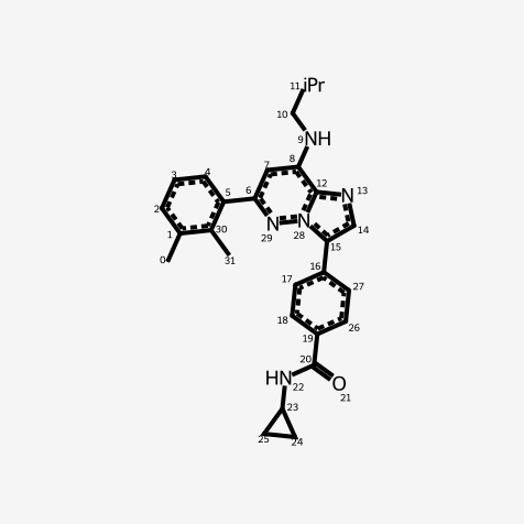 Cc1cccc(-c2cc(NCC(C)C)c3ncc(-c4ccc(C(=O)NC5CC5)cc4)n3n2)c1C